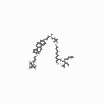 CCN(C(C)C)P(OCCC#N)OCC(CO)CCCCCCSSC(C)(C)CCN(C)CCOc1ccc2c(c1)CCC1C2CCC2(C)C(OCCCOC(C(F)(F)F)(C(F)(F)F)C(F)(F)F)CCC12